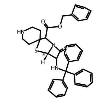 O=C(OCc1ccccc1)C1N2C(=O)C(NC(c3ccccc3)(c3ccccc3)c3ccccc3)[C@@H]2SC12CCNCC2